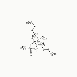 CCCCCCCCCCCCCCC(CCCCCCCCCCCCCC)(CP(=O)(O)O)[P+](C)(C)C.[I-]